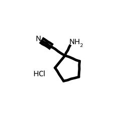 Cl.N#CC1(N)CCCC1